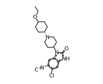 [C-]#[N+]c1cc2c(cc1Cl)[nH]c(=O)n2C1CCN([C@H]2CC[C@H](OCC)CC2)CC1